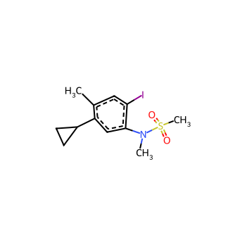 Cc1cc(I)c(N(C)S(C)(=O)=O)cc1C1CC1